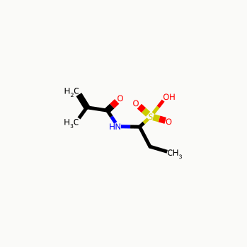 C=C(C)C(=O)NC(CC)S(=O)(=O)O